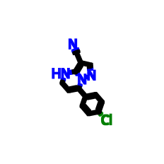 N#Cc1cnn2c1NCC=C2c1ccc(Cl)cc1